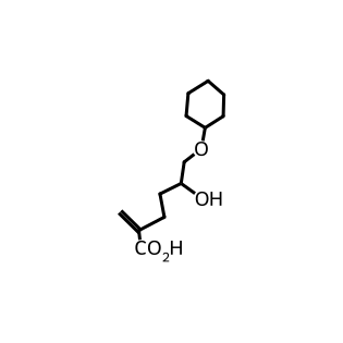 C=C(CCC(O)COC1CCCCC1)C(=O)O